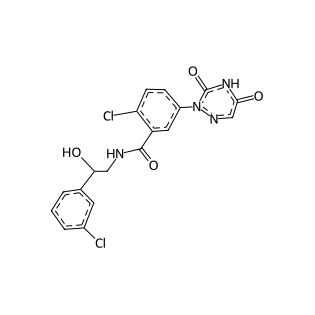 O=C(NCC(O)c1cccc(Cl)c1)c1cc(-n2ncc(=O)[nH]c2=O)ccc1Cl